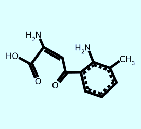 Cc1cccc(C(=O)/C=C(/N)C(=O)O)c1N